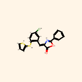 O=C1OC(c2ccccc2)=NC1=Cc1cc(Cl)ccc1Sc1cccs1